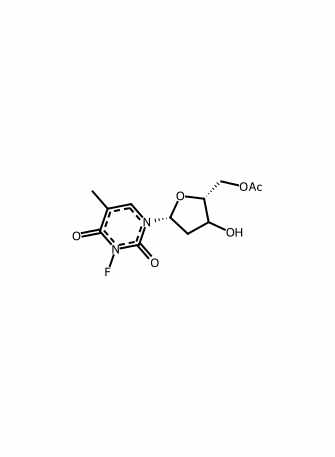 CC(=O)OC[C@H]1O[C@@H](n2cc(C)c(=O)n(F)c2=O)CC1O